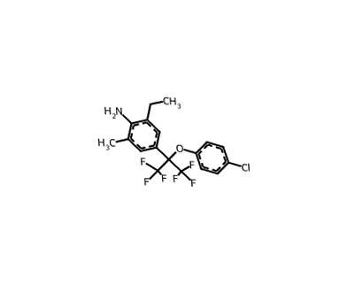 CCc1cc(C(Oc2ccc(Cl)cc2)(C(F)(F)F)C(F)(F)F)cc(C)c1N